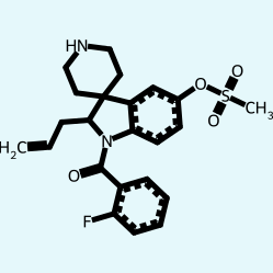 C=CCC1N(C(=O)c2ccccc2F)c2ccc(OS(C)(=O)=O)cc2C12CCNCC2